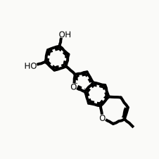 CC1=CCc2cc3cc(-c4cc(O)cc(O)c4)oc3cc2OC1